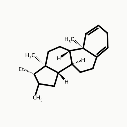 CC[C@H]1C(C)C[C@H]2[C@@H]3CCC4=CCC=C[C@]4(C)[C@H]3CC[C@]12C